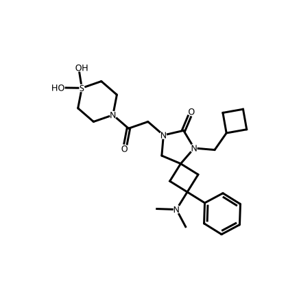 CN(C)C1(c2ccccc2)CC2(CN(CC(=O)N3CCS(O)(O)CC3)C(=O)N2CC2CCC2)C1